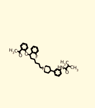 CC(=O)c1ccccc1OC(CCCCCN1CCC(c2cccc(NC(=O)C(C)C)c2)CC1)c1ccccc1F